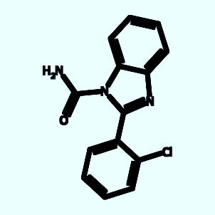 NC(=O)n1c(-c2ccccc2Cl)nc2ccccc21